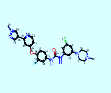 CN1CCN(c2cc(Cl)cc(NC(=O)Nc3ccc(Oc4ccnc(-c5cnn(C)c5)c4)c(F)c3)c2)CC1